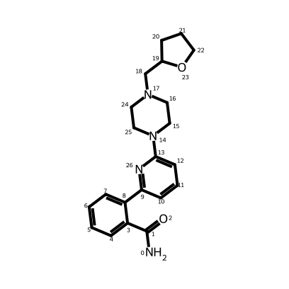 NC(=O)c1ccccc1-c1cccc(N2CCN(CC3CCCO3)CC2)n1